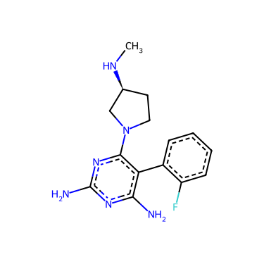 CN[C@H]1CCN(c2nc(N)nc(N)c2-c2ccccc2F)C1